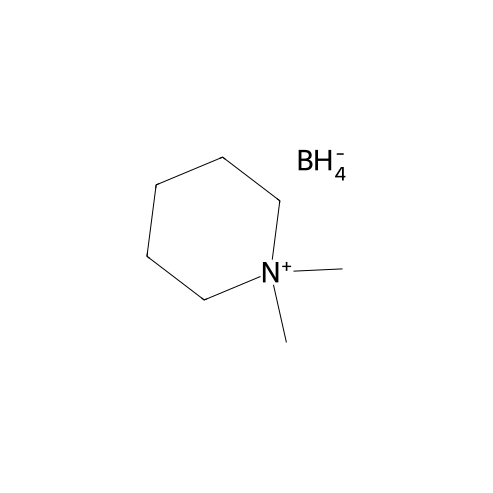 C[N+]1(C)CCCCC1.[BH4-]